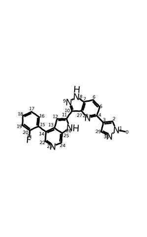 Cn1cc(-c2ccc3[nH]nc(-c4cc5c(-c6ccccc6F)cncc5[nH]4)c3n2)cn1